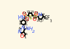 NC1=c2ccoc2=NCN1c1ccc(NS(=O)(=O)c2ccc(S(=O)(=O)c3ccc(C(F)(F)F)cn3)s2)cc1